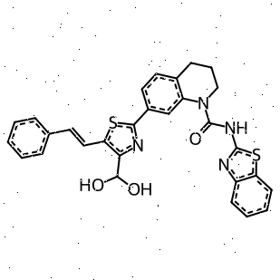 O=C(Nc1nc2ccccc2s1)N1CCCc2ccc(-c3nc(C(O)O)c(/C=C/c4ccccc4)s3)cc21